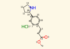 COC(=O)C=Cc1ccc([C@H]2CCCN2)cc1.Cl